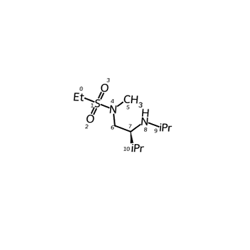 CCS(=O)(=O)N(C)C[C@@H](NC(C)C)C(C)C